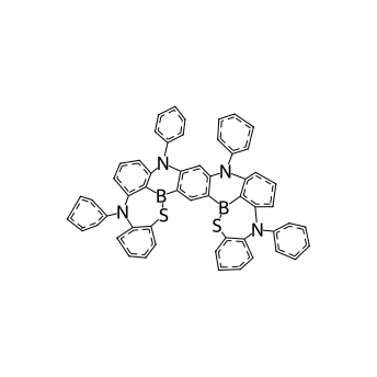 c1ccc(N2c3ccccc3SB3c4cc5c(cc4N(c4ccccc4)c4cccc2c43)N(c2ccccc2)c2cccc3c2B5Sc2ccccc2N3c2ccccc2)cc1